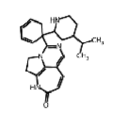 CC(C)C1CCNC(C2(C3=NC=C4C=CC(=O)NC5=C4N3CC5)C=CC=CC2)C1